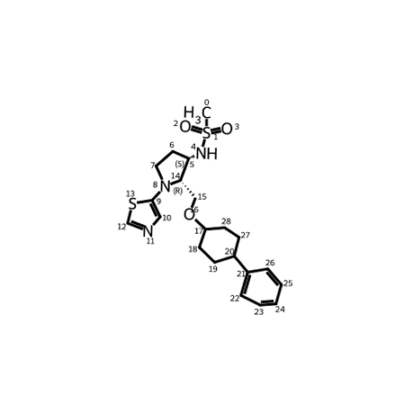 CS(=O)(=O)N[C@H]1CCN(c2cncs2)[C@H]1COC1CCC(c2ccccc2)CC1